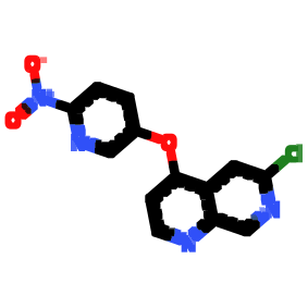 O=[N+]([O-])c1ccc(Oc2ccnc3cnc(Cl)cc23)cn1